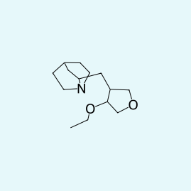 CCOC1COCC1CC1CC2CCN1CC2